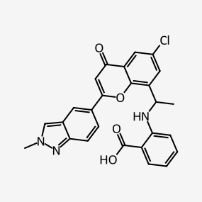 CC(Nc1ccccc1C(=O)O)c1cc(Cl)cc2c(=O)cc(-c3ccc4nn(C)cc4c3)oc12